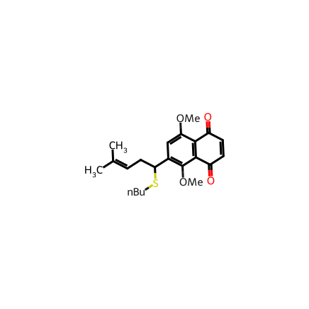 CCCCSC(CC=C(C)C)c1cc(OC)c2c(c1OC)C(=O)C=CC2=O